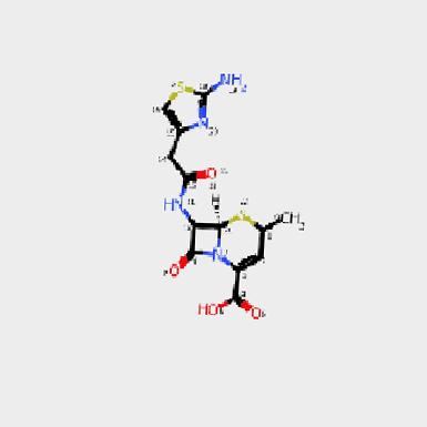 CC1C=C(C(=O)O)N2C(=O)C(NC(=O)Cc3csc(N)n3)[C@H]2S1